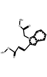 CCCOC(=O)/C=C/c1cc2ccccc2n1CC(=O)OC(C)(C)C